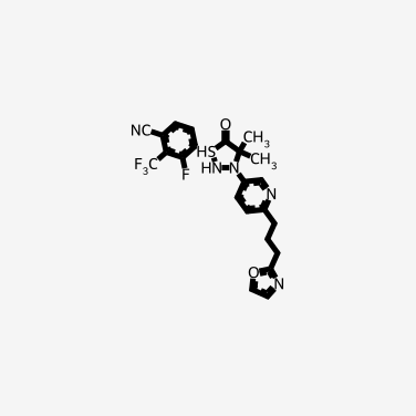 CC1(C)C(=O)[SH](c2ccc(C#N)c(C(F)(F)F)c2F)NN1c1ccc(CCCc2ncco2)nc1